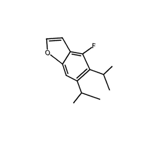 CC(C)c1cc2occc2c(F)c1C(C)C